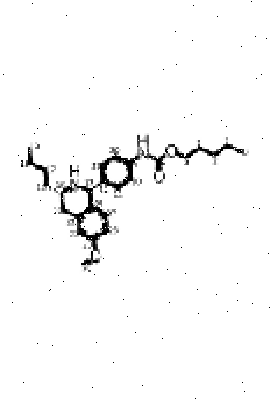 CCCCCOC(=O)Nc1ccc([C@@H]2N[C@@H](CCCC)Cc3cc(OC)ccc32)cc1